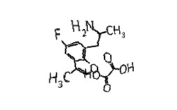 Cc1coc2c(CC(C)N)cc(F)cc12.O=C(O)C(=O)O